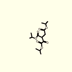 CC(C)OC(=O)CC(C(=O)OC(C)C)C(=O)C(=O)OC(C)C